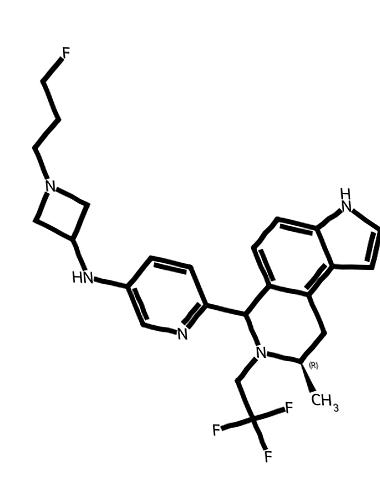 C[C@@H]1Cc2c(ccc3[nH]ccc23)C(c2ccc(NC3CN(CCCF)C3)cn2)N1CC(F)(F)F